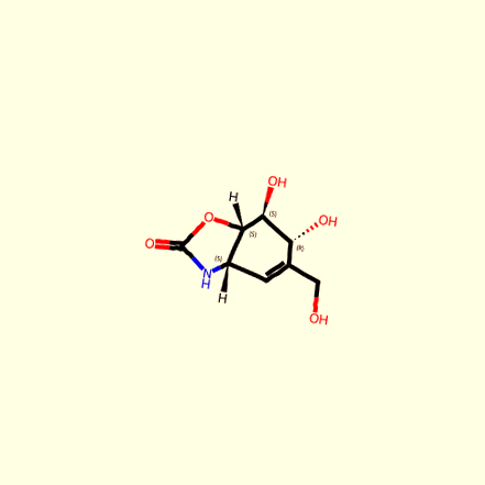 O=C1N[C@H]2C=C(CO)[C@@H](O)[C@H](O)[C@H]2O1